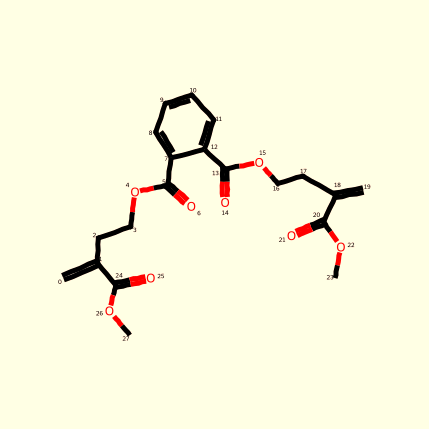 C=C(CCOC(=O)c1ccccc1C(=O)OCCC(=C)C(=O)OC)C(=O)OC